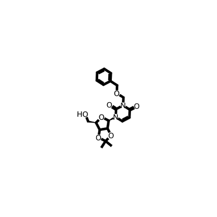 CC1(C)OC2C(O1)[C@@H](CO)O[C@H]2n1ccc(=O)n(COCc2ccccc2)c1=O